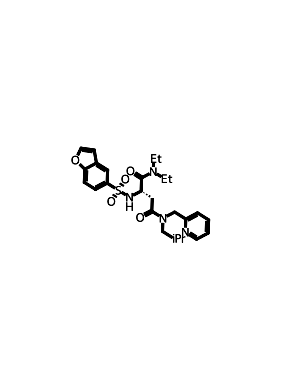 CCN(CC)C(=O)[C@H](CC(=O)N(Cc1ccccn1)CC(C)C)NS(=O)(=O)c1ccc2occc2c1